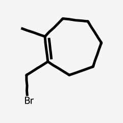 CC1=C(CBr)CCCCC1